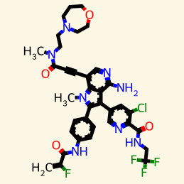 C=C(F)C(=O)Nc1ccc(-c2c(-c3cnc(C(=O)NCC(F)(F)F)c(Cl)c3)c3c(N)ncc(C#CC(=O)N(C)CCN4CCCOCC4)c3n2C)cc1